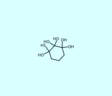 OC1(O)CCCC(O)(S)C1(O)O